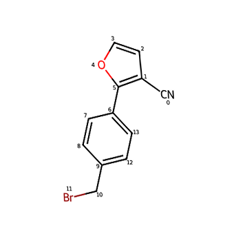 N#Cc1ccoc1-c1ccc(CBr)cc1